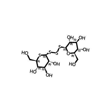 OC[C@H]1O[C@@H](SSS[C@@H]2S[C@H](CO)[C@@H](O)[C@H](O)[C@H]2O)[C@H](O)[C@@H](O)[C@@H]1O